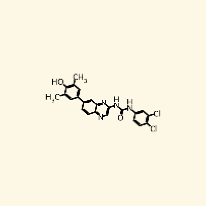 Cc1cc(-c2ccc3ncc(NC(=O)Nc4ccc(Cl)c(Cl)c4)nc3c2)cc(C)c1O